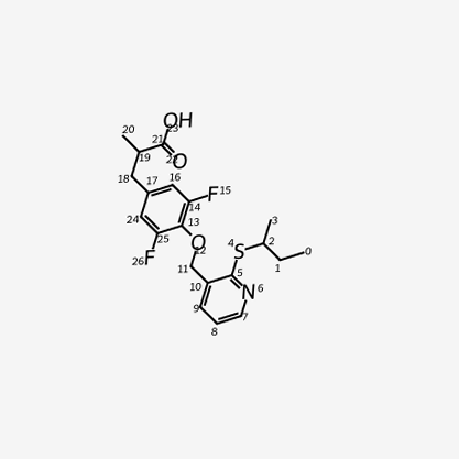 CCC(C)Sc1ncccc1COc1c(F)cc(CC(C)C(=O)O)cc1F